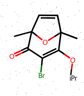 CC(C)OC1=C(Br)C(=O)C2(C)C=CC1(C)O2